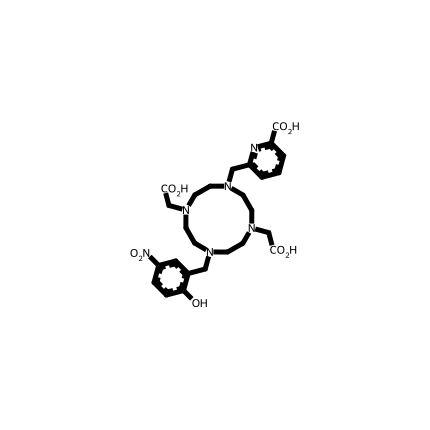 O=C(O)CN1CCN(Cc2cccc(C(=O)O)n2)CCN(CC(=O)O)CCN(Cc2cc([N+](=O)[O-])ccc2O)CC1